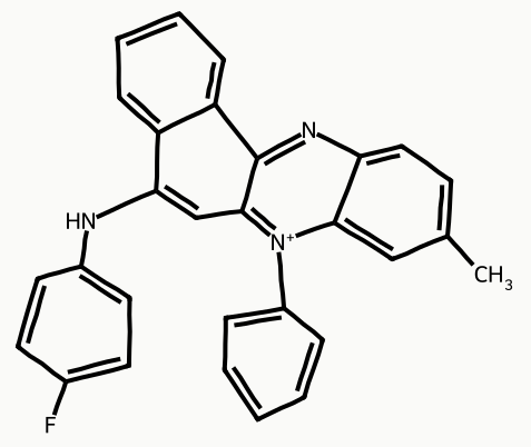 Cc1ccc2nc3c4ccccc4c(Nc4ccc(F)cc4)cc3[n+](-c3ccccc3)c2c1